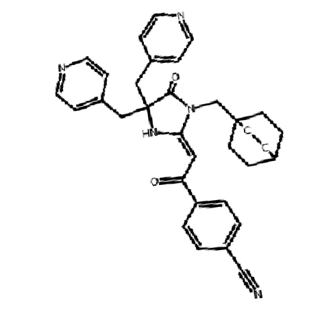 N#Cc1ccc(C(=O)C=C2NC(Cc3ccncc3)(Cc3ccncc3)C(=O)N2CC23CCC(CC2)CC3)cc1